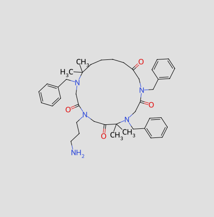 CC1(C)CCCCC(=O)CN(Cc2ccccc2)C(=O)CN(Cc2ccccc2)C(C)(C)C(=O)CN(CCCN)C(=O)CN1Cc1ccccc1